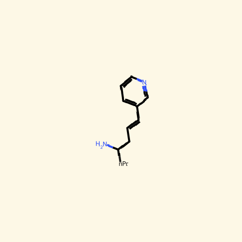 CCCC(N)C/C=C/c1cccnc1